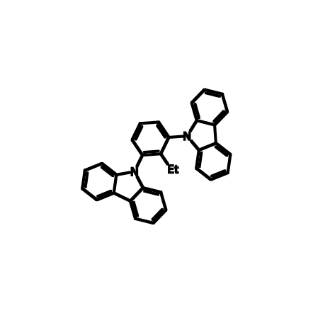 CCc1c(-n2c3ccccc3c3ccccc32)cccc1-n1c2ccccc2c2ccccc21